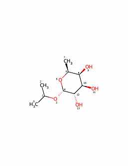 CC(C)O[C@@H]1O[C@@H](C)[C@@H](O)[C@@H](O)[C@@H]1O